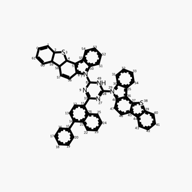 C1=CC2SC3c4c(n(C5N=C(c6ccc(-c7ccccc7)c7ccccc67)N=C(n6c7ccccc7c7c8sc9ccccc9c8ccc76)N5)c5ccccc45)C=CC3C2C=C1